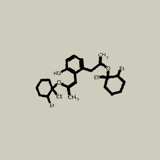 CCC1CCCCC1(CC)OC(C)Cc1cccc(O)c1CC(C)OC1(CC)CCCCC1CC